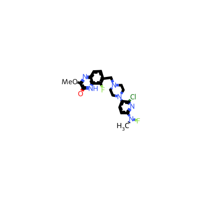 COc1nc2ccc(CN3CCN(c4ccc(N(C)F)nc4Cl)CC3)c(F)c2[nH]c1=O